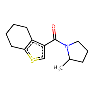 CC1CCCN1C(=O)c1csc2c1CCCC2